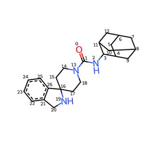 O=C(NC1C2CC3CC(C2)CC1C3)N1CCC2(CC1)NCc1ccccc12